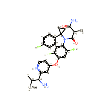 CC[C@H](C(N)=O)C(=O)N(c1cc(F)c(Oc2ccnc(C(N)C(C)OC)c2)cc1F)C1(c2ccc(F)cc2)CC1